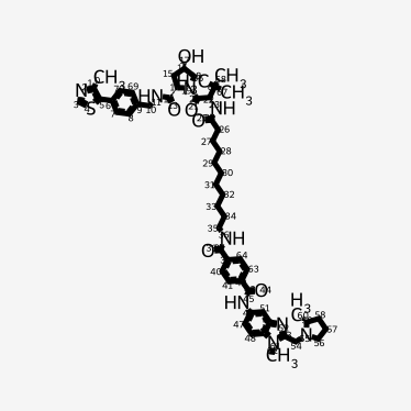 Cc1ncsc1-c1ccc(CNC(=O)[C@@H]2C[C@@H](O)CN2C(=O)[C@@H](NC(=O)CCCCCCCCCCNC(=O)c2ccc(C(=O)Nc3ccc4c(c3)nc(CN3CCC[C@@H]3C)n4C)cc2)C(C)(C)C)cc1